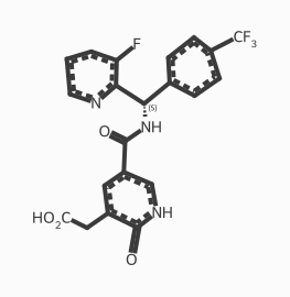 O=C(O)Cc1cc(C(=O)N[C@@H](c2ccc(C(F)(F)F)cc2)c2ncccc2F)c[nH]c1=O